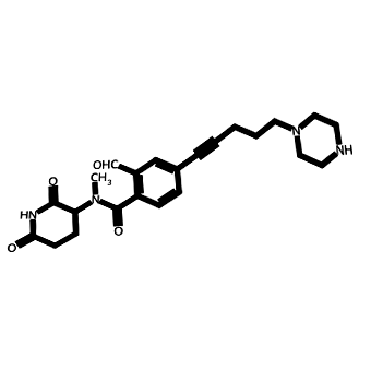 CN(C(=O)c1ccc(C#CCCCN2CCNCC2)cc1C=O)C1CCC(=O)NC1=O